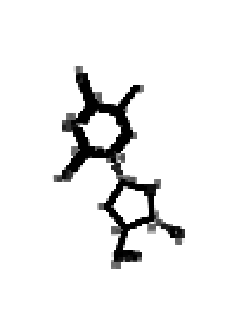 CC[C@H]1O[C@@H](n2cc(C)c(=O)[nH]c2=O)CC1OC